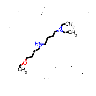 CCOCCCCNCCCCN(CC)CC